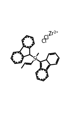 CC=C[Si](C)(C1=c2ccccc2=C2C=CC=CC21)C1c2ccccc2-c2ccccc21.[Cl-].[Cl-].[Zr+2]